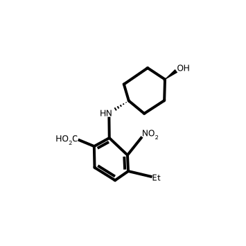 CCc1ccc(C(=O)O)c(N[C@H]2CC[C@H](O)CC2)c1[N+](=O)[O-]